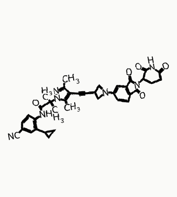 Cc1nn(C(C)(C)C(=O)Nc2ccc(C#N)cc2C2CC2)c(C)c1C#CC1CN(c2ccc3c(c2)C(=O)N(C2CCC(=O)NC2=O)C3=O)C1